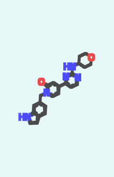 O=c1cc(-c2ccnc(NC3CCOCC3)n2)ccn1Cc1ccc2cc[nH]c2c1